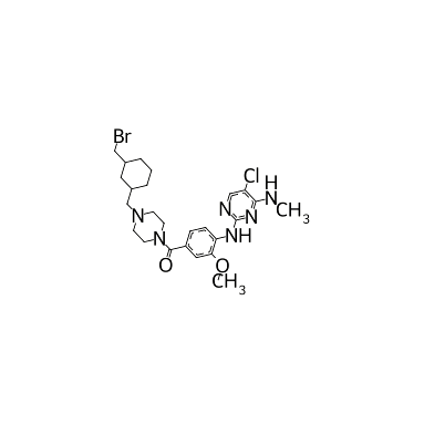 CNc1nc(Nc2ccc(C(=O)N3CCN(CC4CCCC(CBr)C4)CC3)cc2OC)ncc1Cl